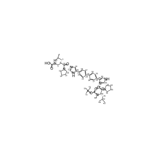 CC(C)C[C@@H](CNC(=O)O)C(=O)N1CCC[C@H]1c1ncc(-c2ccc(-c3ccc(-c4c[nH]c([C@@H]5CCCN5C(=O)[C@H](CC(C)C)N(C)C(=O)OC(C)(C)C)n4)cc3)cc2)[nH]1